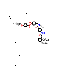 CCCCCCCOc1ccc(C(=O)Oc2ccc(CN(CC(C)=O)C(=O)c3ccc(NC(=O)Cc4cccc(OC)c4OC)cc3)cc2)cc1